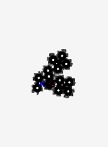 c1ccc(-n2c3ccccc3c3cccc(-c4c5cccc(-c6cccc7c6-c6ccccc6[Si]7(c6ccccc6)c6ccccc6)c5cc5c(-c6cccc7c6-c6ccccc6[Si]7(c6ccccc6)c6ccccc6)cccc45)c32)cc1